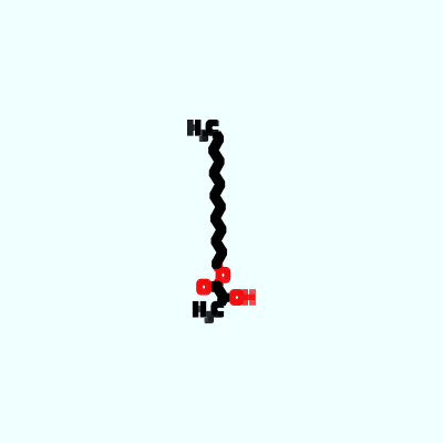 CCCCCCCCCCCCCOC(=O)C(C)O